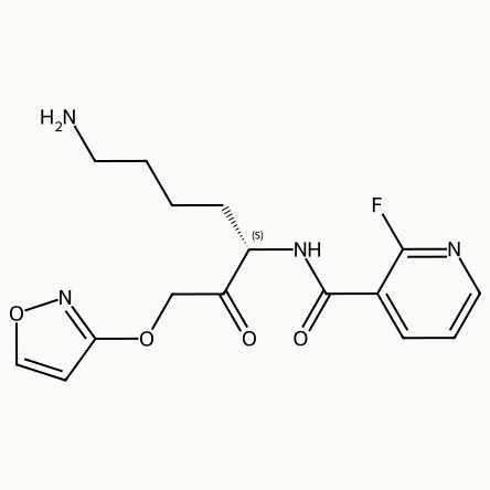 NCCCC[C@H](NC(=O)c1cccnc1F)C(=O)COc1ccon1